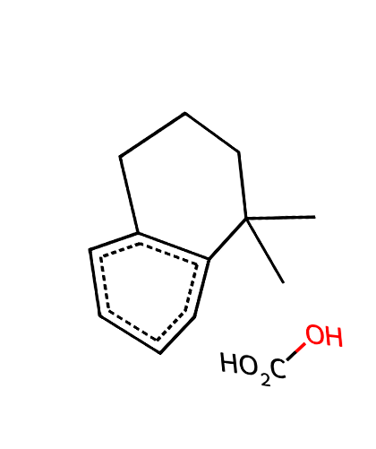 CC1(C)CCCc2ccccc21.O=C(O)O